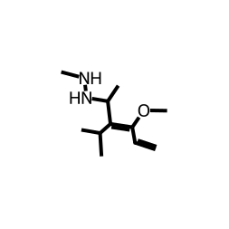 C=C/C(OC)=C(\C(C)C)C(C)NNC